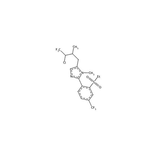 CCS(=O)(=O)c1cc(C(F)(F)F)ccc1-c1ncc(CC(C)C(Cl)C(F)(F)F)n1C